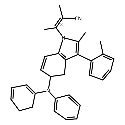 C/C(C#N)=C(\C)n1c(C)c(-c2ccccc2C)c2c1C=CC(N(C1=CC=CCC1)c1ccccc1)C2